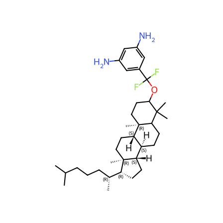 CC(C)CCC[C@@H](C)[C@H]1CC[C@H]2[C@@H]3CCC4C(C)(C)C(OC(F)(F)c5cc(N)cc(N)c5)CC[C@]4(C)[C@H]3CC[C@]12C